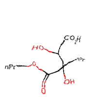 CCCOC(=O)C(O)(CCC)C(O)C(=O)O